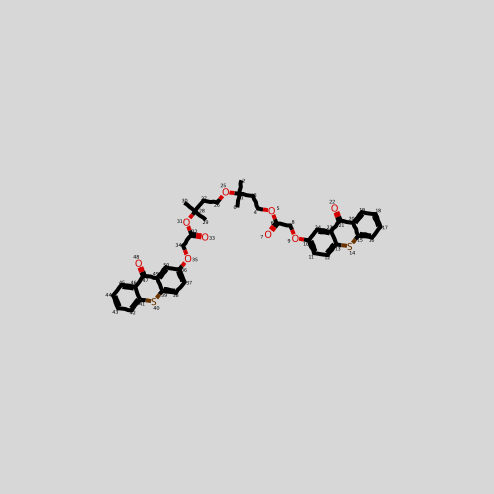 CC(C)(CCOC(=O)COc1ccc2sc3ccccc3c(=O)c2c1)OCCC(C)(C)OC(=O)COc1ccc2sc3ccccc3c(=O)c2c1